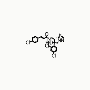 C[C@@H](CNC(=O)C=Cc1ccc(Cl)cc1)C(O)(Cn1cncn1)c1ccc(Cl)cc1Cl